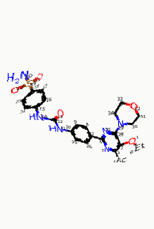 CCOc1c(C(C)=O)nc(-c2ccc(NC(=O)Nc3ccc(S(N)(=O)=O)cc3)cc2)nc1N1CCOCC1